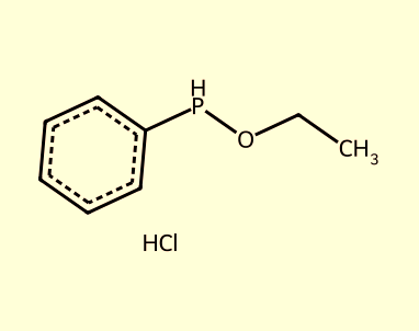 CCOPc1ccccc1.Cl